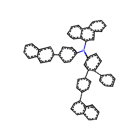 c1ccc(-c2ccc(N(c3ccc(-c4ccc5ccccc5c4)cc3)c3cc4ccccc4c4ccccc34)cc2-c2ccc(-c3cccc4ccccc34)cc2)cc1